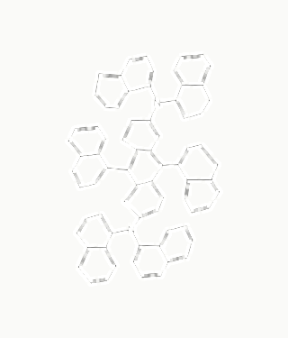 C1=C(N(c2ccc3c(-c4cccc5ccccc45)c4cc(N(c5cccc6ccccc56)c5cccc6ccccc56)ccc4c(-c4cccc5ccccc45)c3c2)c2cccc3ccccc23)c2ccccc2CC1